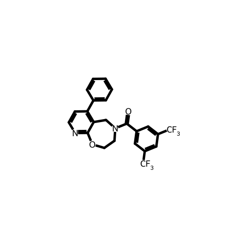 O=C(c1cc(C(F)(F)F)cc(C(F)(F)F)c1)N1CCOc2nccc(-c3ccccc3)c2C1